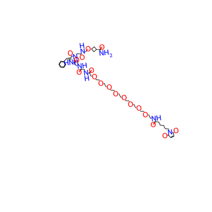 NC(=O)[C@H]1C[C@@H](OCNC(=O)CNC(=O)[C@H](Cc2ccccc2)NC(=O)CNC(=O)CNC(=O)COCCOCCOCCOCCOCCOCCOCCOCCNC(=O)CCCCCN2C(=O)C=CC2=O)C1